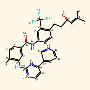 CC(C)=CC(=O)CCc1ccc(NC(=O)c2ccc(C)c(Nc3nccc(-c4cccnc4)n3)c2)cc1C(F)(F)F